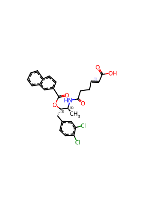 C[C@H](NC(=O)CC/C=C/C(=O)O)[C@H](Cc1ccc(Cl)c(Cl)c1)OC(=O)c1ccc2ccccc2c1